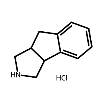 Cl.c1ccc2c(c1)CC1CNCC21